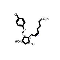 O=C(O)CCC/C=C\C[C@@H]1[C@@H](COc2ccc(Cl)cc2)[C@H](O)C[C@H]1Cl